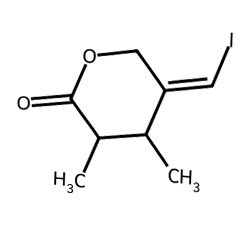 CC1C(=O)OCC(=CI)C1C